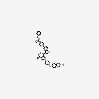 O=C(c1cn(C2CCN(CC3CCC4(CCNCC4)CC3)CC2)nc1C(F)F)c1cnn2ccc(N3CCN(C(=O)OCc4ccccc4)CC3)nc12